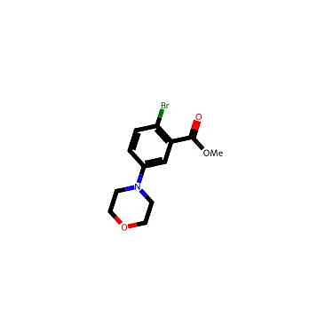 COC(=O)c1cc(N2CCOCC2)ccc1Br